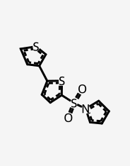 O=S(=O)(c1ccc(-c2ccsc2)s1)n1cccc1